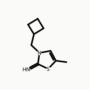 Cc1cn(CC2CCC2)c(=N)s1